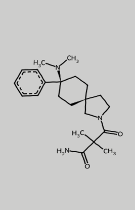 CN(C)[C@]1(c2ccccc2)CC[C@]2(CCN(C(=O)C(C)(C)C(N)=O)C2)CC1